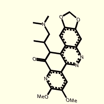 COc1cc2c(nc1OC)C(=O)C(C(C)CN(C)C)c1c-2nnc2cc3c(cc12)OCO3